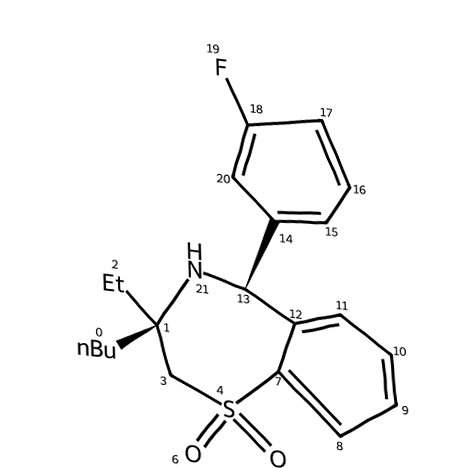 CCCC[C@]1(CC)CS(=O)(=O)c2ccccc2[C@H](c2cccc(F)c2)N1